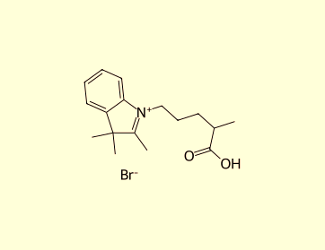 CC1=[N+](CCCC(C)C(=O)O)c2ccccc2C1(C)C.[Br-]